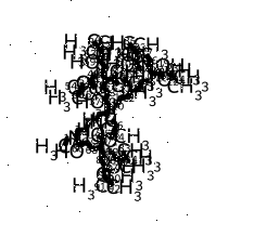 CCN(CCCNCCN(CCCCCCC[C@@H]([C@H](O)OC(C)(C)C)N(CC)CC(O)OC(C)(C)C)C(O)CCC(C(O)OC(C)(C)C)N(CC(=O)OC(C)(C)C)C[C@H](O)OC(C)(C)C)[C@H](O)CCC(C(O)OC(C)(C)CC)N(CCC(C)(C)C)CC(O)OC(C)(C)C